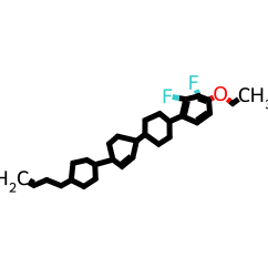 C=CCCC1CCC(C2C=CC(C3CCC(c4ccc(OCC)c(F)c4F)CC3)CC2)CC1